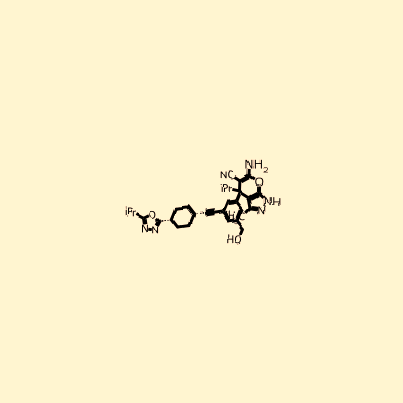 Cc1n[nH]c2c1C(c1cc(C#C[C@H]3CC[C@@H](c4nnc(C(C)C)o4)CC3)cc(CO)c1)(C(C)C)C(C#N)=C(N)O2